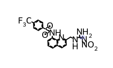 N/C(=N/[N+](=O)[O-])NCc1ccc2cccc(NS(=O)(=O)c3ccc(C(F)(F)F)cc3)c2n1